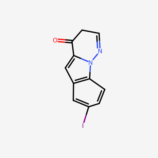 O=C1CC=Nn2c1cc1cc(I)ccc12